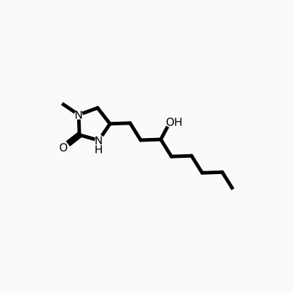 CCCCCC(O)CCC1CN(C)C(=O)N1